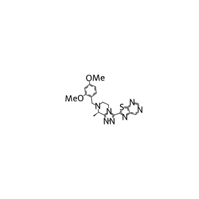 COc1ccc(CN2CCn3c(-c4nc5cncnc5s4)nnc3[C@H]2C)c(OC)c1